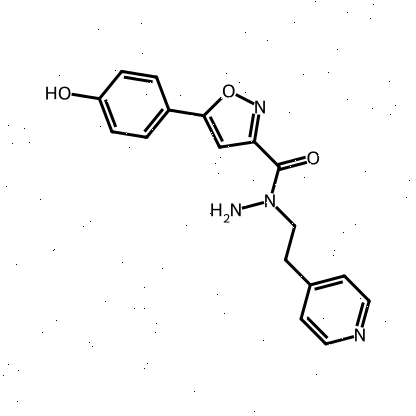 NN(CCc1ccncc1)C(=O)c1cc(-c2ccc(O)cc2)on1